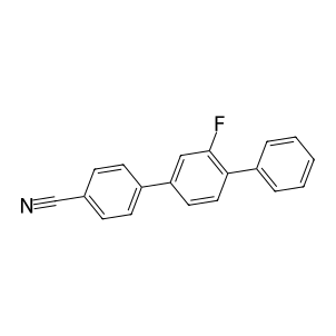 N#Cc1ccc(-c2ccc(-c3ccccc3)c(F)c2)cc1